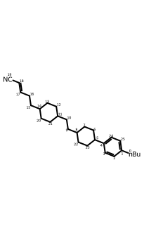 CCCCc1ccc(C2CCC(CCC3CCC(CCC=CC#N)CC3)CC2)cc1